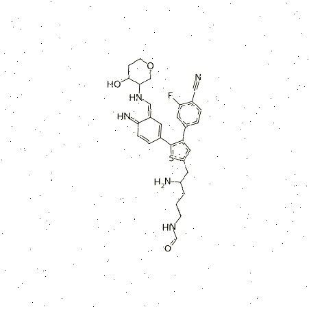 N#Cc1ccc(-c2cc(CC(N)CCCNC=O)sc2C2=C/C(=C/NC3COCCC3O)C(=N)C=C2)cc1F